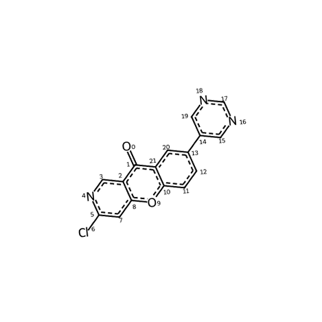 O=c1c2cnc(Cl)cc2oc2ccc(-c3cncnc3)cc12